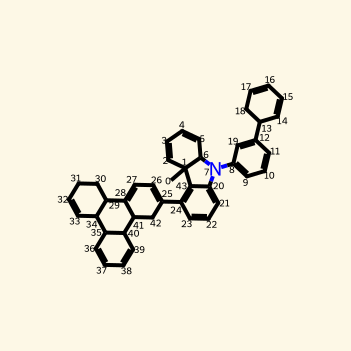 CC12C=CC=CC1N(c1cccc(C3C=CC=CC3)c1)c1cccc(C3=CC=C4C5CCC=CC5C5C=CC=CC5C4C3)c12